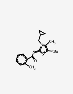 Cc1ccccc1C(=O)/N=c1\sc(C(C)(C)C)c(C)n1CC1CC1